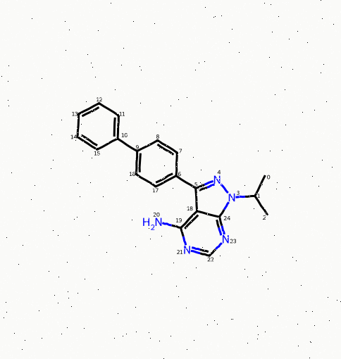 CC(C)n1nc(-c2ccc(-c3ccccc3)cc2)c2c(N)ncnc21